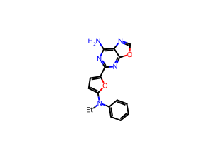 CCN(c1ccccc1)c1ccc(-c2nc(N)c3ncoc3n2)o1